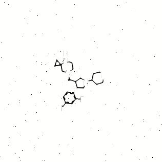 O=C(C1CN(C2CCOCC2)C[C@H]1c1ccc(Cl)cc1F)N1CCNC2(CC2)C1